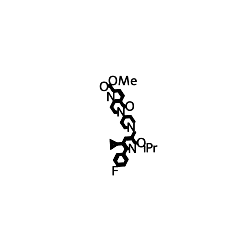 COC(=O)c1ccc2c(n1)CCN(C1CCN(Cc3cc(C4CC4)c(-c4ccc(F)cc4)nc3OC(C)C)CC1)C2=O